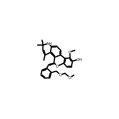 COCOCc1ccccc1/C=C1\Oc2ccc(O)c(OC)c2-c2ccc3c(c21)C(C)=CC(C)(C)N3